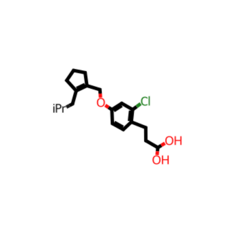 CC(C)CC1=C(COc2ccc(CCC(O)O)c(Cl)c2)CCC1